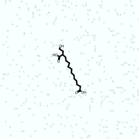 O=C(O)CCCCCCCCCCCC(CCO)C(=O)O